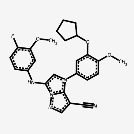 COc1cc(Nc2cn(-c3ccc(OC)c(OC4CCCC4)c3)c3c(C#N)cnn23)ccc1F